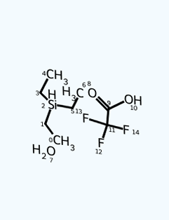 CC[SiH](CC)CC.O.O=C(O)C(F)(F)F